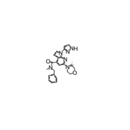 C[C@@H]1COCCN1c1cc(C(=O)N(C)Cc2ccccc2)c2ccn(-c3cc[nH]n3)c2n1